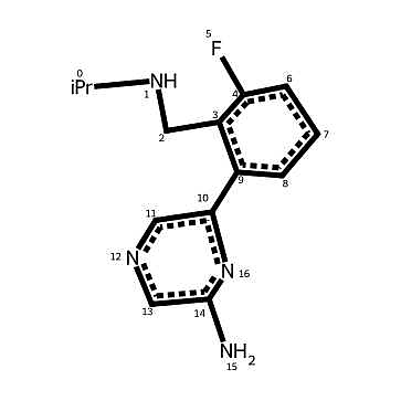 CC(C)NCc1c(F)cccc1-c1cncc(N)n1